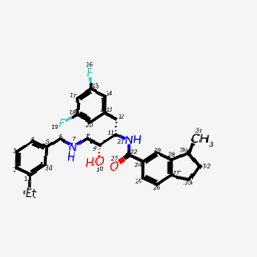 CCc1cccc(CNC[C@@H](O)[C@H](Cc2cc(F)cc(F)c2)NC(=O)c2ccc3c(c2)C(C)CC3)c1